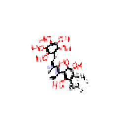 Bc1c(B)c(O)c(/C(C=C)=C/C(C)=C\Cc2c(O)c(O)c(O)c(O)c2O)c(O)c1O